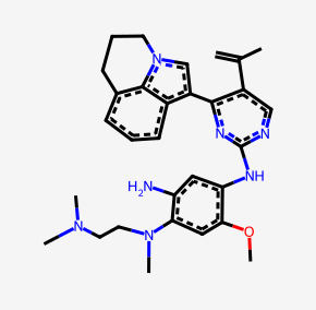 C=C(C)c1cnc(Nc2cc(N)c(N(C)CCN(C)C)cc2OC)nc1-c1cn2c3c(cccc13)CCC2